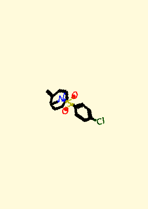 C=C1CC2CCCC1CN2S(=O)(=O)c1ccc(Cl)cc1